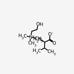 CC(C)C(N)C(=O)[O-].C[N+](C)(C)CCO